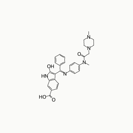 CN1CCN(CC(=O)N(C)c2ccc(N=C(c3ccccc3)c3c(O)[nH]c4cc(C(=O)O)ccc34)cc2)CC1